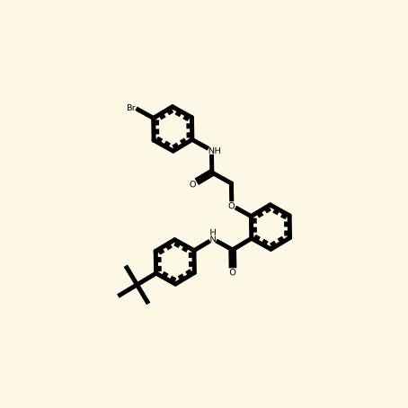 CC(C)(C)c1ccc(NC(=O)c2ccccc2OCC(=O)Nc2ccc(Br)cc2)cc1